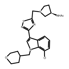 CC(=O)N[C@@H]1CCN(Cc2nc(-c3cn(CC4CCOCC4)c4c(Cl)cccc34)ns2)C1